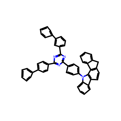 c1ccc(-c2ccc(-c3nc(-c4ccc(-n5c6ccccc6c6ccc7c(c65)-c5ccccc5C7)cc4)nc(-c4cccc(-c5ccccc5)c4)n3)cc2)cc1